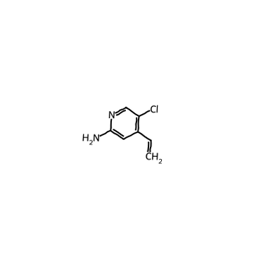 C=Cc1cc(N)ncc1Cl